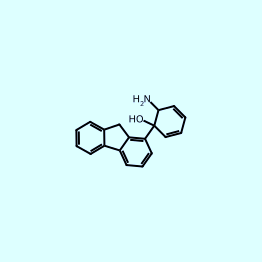 NC1C=CC=CC1(O)c1cccc2c1Cc1ccccc1-2